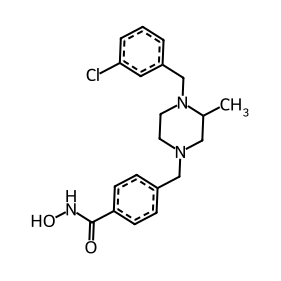 CC1CN(Cc2ccc(C(=O)NO)cc2)CCN1Cc1cccc(Cl)c1